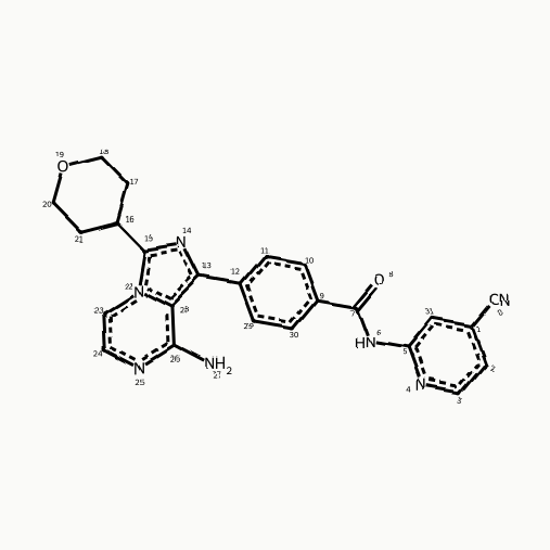 N#Cc1ccnc(NC(=O)c2ccc(-c3nc(C4CCOCC4)n4ccnc(N)c34)cc2)c1